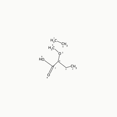 CC.CCC(OC)C(=O)O